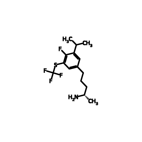 CC(C)c1cc(CCC[C@H](C)N)cc(SC(F)(F)F)c1F